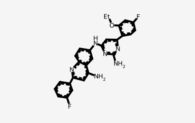 CCOc1cc(F)ccc1-c1cc(Nc2ccc3nc(-c4cccc(F)c4)cc(N)c3c2)nc(N)n1